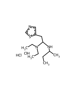 CCC(C)NC(Cc1cncs1)N(CC)CC.Cl.Cl